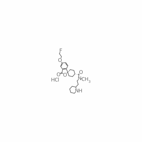 CN(CCC1CCCCN1)C(=O)[C@H]1CC[C@@]2(CC1)OC(=O)c1cc(OCCF)ccc12.Cl